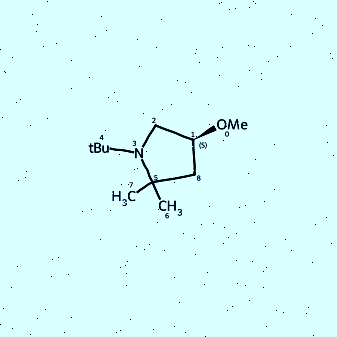 CO[C@@H]1CN(C(C)(C)C)C(C)(C)C1